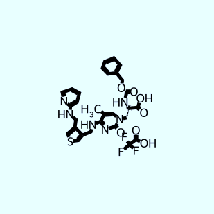 Cc1cn(C[C@H](NC(=O)OCc2ccccc2)C(=O)O)c(=O)nc1NCc1cscc1CNc1ccccn1.O=C(O)C(F)(F)F